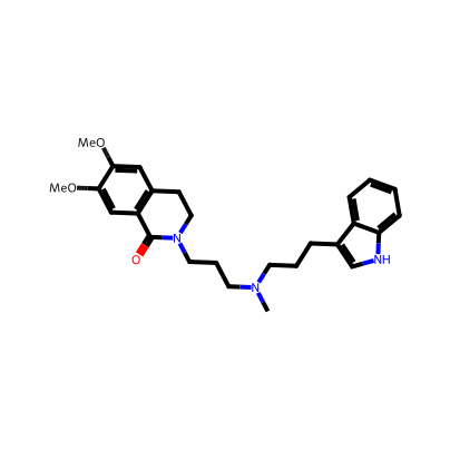 COc1cc2c(cc1OC)C(=O)N(CCCN(C)CCCc1c[nH]c3ccccc13)CC2